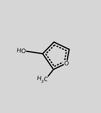 Cc1occc1O